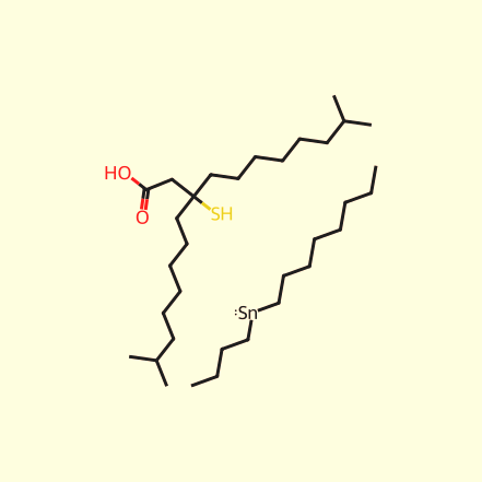 CC(C)CCCCCCC(S)(CCCCCCC(C)C)CC(=O)O.CCCCCCC[CH2][Sn][CH2]CCC